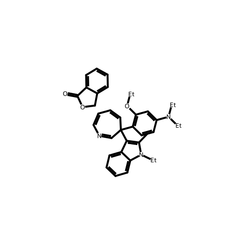 CCOc1cc(N(CC)CC)ccc1C1(c2c(C)n(CC)c3ccccc23)C=CC=CN=C1.O=C1OCc2ccccc21